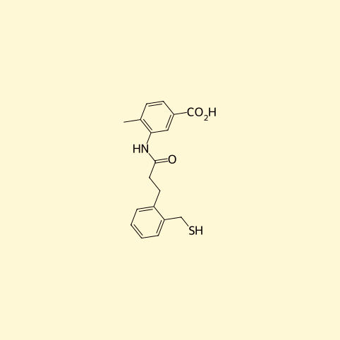 Cc1ccc(C(=O)O)cc1NC(=O)CCc1ccccc1CS